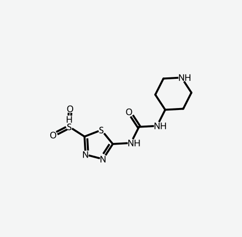 O=C(Nc1nnc([SH](=O)=O)s1)NC1CCNCC1